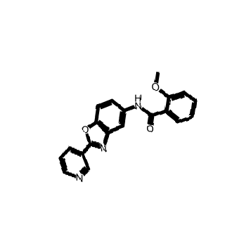 COc1ccccc1C(=O)Nc1ccc2oc(-c3cccnc3)nc2c1